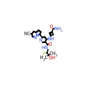 CC(C)(O)C(F)CNC(=O)c1cnc(-c2ccc3cc(C#N)cnn23)cc1NC12CC(C(N)=O)(C1)C2